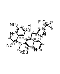 CC(C)(C)CNc1c(C#N)cnc2c(C#N)cc(N[C@H](c3cn(C4(C(F)(F)F)CC4)nn3)c3ccc(F)c4ncccc34)cc12